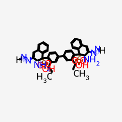 [H]/N=N/C1=Cc2ccccc2C(c2ccc(-c3ccc(C4(S(=O)(=O)O)c5ccccc5C=C(/N=N/[H])C4N)c(CCC)c3)cc2CCC)(S(=O)(=O)O)C1N